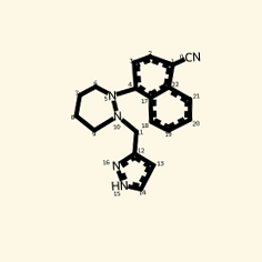 N#Cc1ccc(N2CCCCN2Cc2cc[nH]n2)c2ccccc12